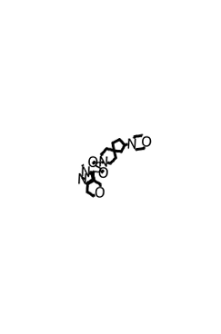 Cn1nc2c(c1S(=O)(=O)N1CCC3(CCC(N4CCOCC4)C3)CC1)COCC2